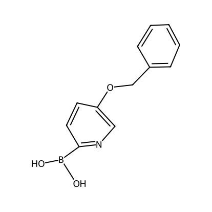 OB(O)c1ccc(OCc2ccccc2)cn1